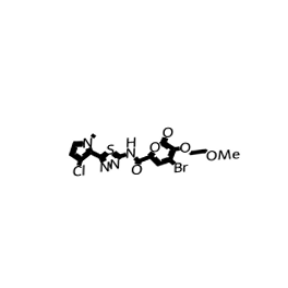 COCCOc1c(Br)cc(C(=O)Nc2nnc(-c3c(Cl)ccn3C)s2)oc1=O